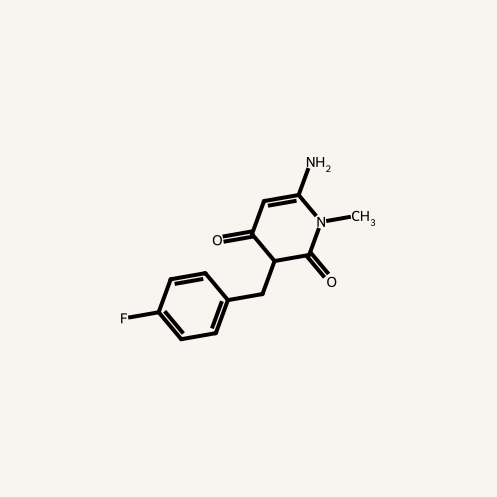 CN1C(=O)C(Cc2ccc(F)cc2)C(=O)C=C1N